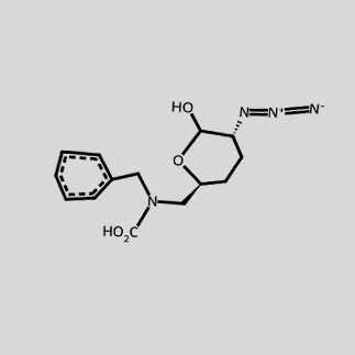 [N-]=[N+]=N[C@@H]1CC[C@@H](CN(Cc2ccccc2)C(=O)O)OC1O